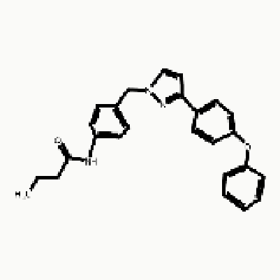 CCCC(=O)Nc1ccc(Cn2ccc(-c3ccc(Oc4ccccc4)cc3)n2)cc1